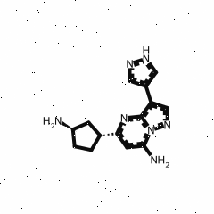 Nc1cc([C@@H]2CC[C@@H](N)C2)nc2c(-c3cn[nH]c3)cnn12